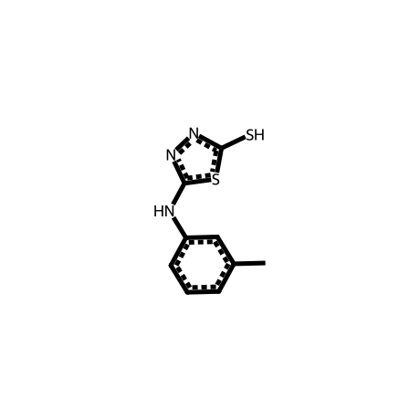 Cc1cccc(Nc2nnc(S)s2)c1